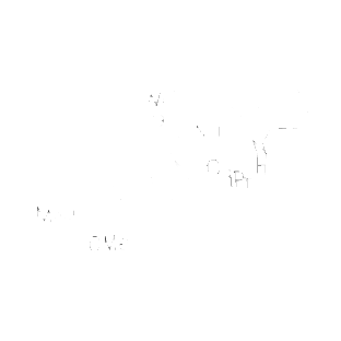 COc1ccc(-c2ccc(OC(C)C)c(C(=O)NC(CC#N)Cc3c[nH]c4ccccc34)c2)cc1OC